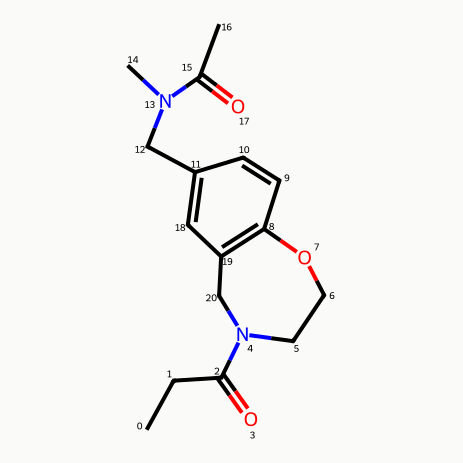 CCC(=O)N1CCOc2ccc(CN(C)C(C)=O)cc2C1